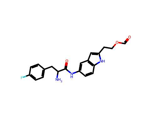 NC(Cc1ccc(F)cc1)C(=O)Nc1ccc2[nH]c(CCOC=O)cc2c1